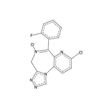 [O-][N+]1=C(c2ccccc2F)c2nc(Cl)ccc2-n2cnnc2C1